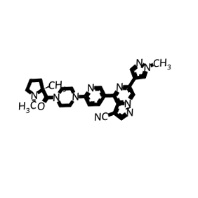 CN1CCC[C@@]1(C)C(=O)N1CCN(c2ccc(-c3nc(-c4cnn(C)c4)cn4ncc(C#N)c34)cn2)CC1